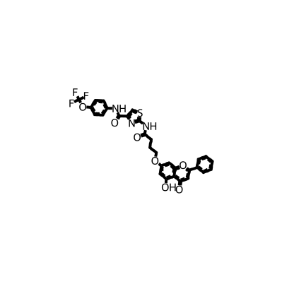 O=C(CCCOc1cc(O)c2c(=O)cc(-c3ccccc3)oc2c1)Nc1nc(C(=O)Nc2ccc(OC(F)(F)F)cc2)cs1